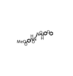 COC(=O)c1ccc(NC(=O)N(C)CCCN(C)CC(=O)Nc2ccc(Oc3ccccc3)cc2)cc1